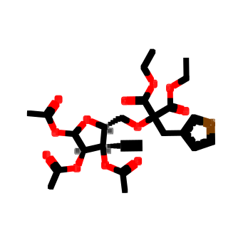 C#C[C@@]1(OC(C)=O)[C@@H](COC(Cc2ccsc2)(C(=O)OCC)C(=O)OCC)OC(OC(C)=O)[C@@H]1OC(C)=O